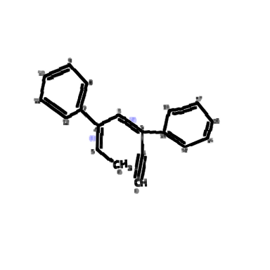 C#C/C(=C\C(=C/C)c1ccccc1)c1ccccc1